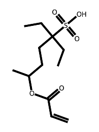 C=CC(=O)OC(C)CCC(CC)(CC)S(=O)(=O)O